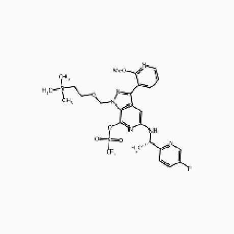 COc1ncccc1-c1nn(COCC[Si](C)(C)C)c2c(OS(=O)(=O)C(F)(F)F)nc(N[C@@H](C)c3ccc(F)cn3)cc12